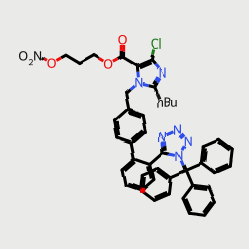 CCCCc1nc(Cl)c(C(=O)OCCCO[N+](=O)[O-])n1Cc1ccc(-c2ccccc2-c2nnnn2C(c2ccccc2)(c2ccccc2)c2ccccc2)cc1